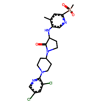 Cc1cc(S(C)(=O)=O)ncc1NC1CCN(C2CCN(c3ncc(Cl)cc3Cl)CC2)C1=O